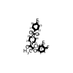 CC(C)(Oc1ccc(F)c(F)c1)C(=O)N1CCN(S(=O)(=O)c2ccc(F)cc2)CC1